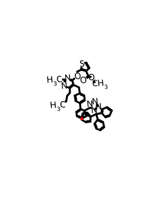 CCCCc1nc(C)nc(OCc2sccc2C(=O)OC)c1Cc1ccc(-c2ccccc2-c2nnnn2C(c2ccccc2)(c2ccccc2)c2ccccc2)cc1